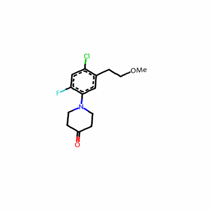 COCCc1cc(N2CCC(=O)CC2)c(F)cc1Cl